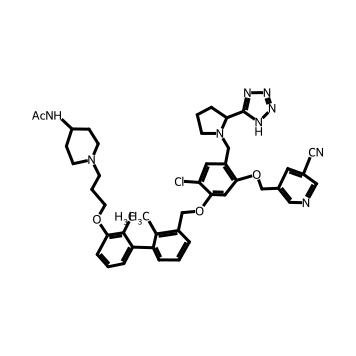 CC(=O)NC1CCN(CCCOc2cccc(-c3cccc(COc4cc(OCc5cncc(C#N)c5)c(CN5CCCC5c5nnn[nH]5)cc4Cl)c3C)c2C)CC1